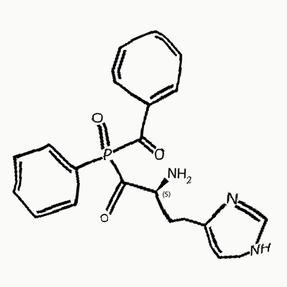 N[C@@H](Cc1c[nH]cn1)C(=O)P(=O)(C(=O)c1ccccc1)c1ccccc1